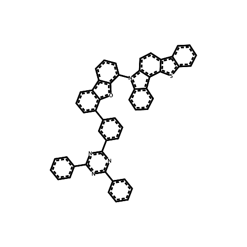 c1ccc(-c2nc(-c3ccccc3)nc(-c3cccc(-c4cccc5c4oc4c(-n6c7ccccc7c7c8sc9ccccc9c8ccc76)cccc45)c3)n2)cc1